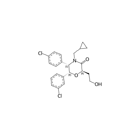 O=C1[C@@H](CCO)O[C@H](c2cccc(Cl)c2)[C@H](c2ccc(Cl)cc2)N1CC1CC1